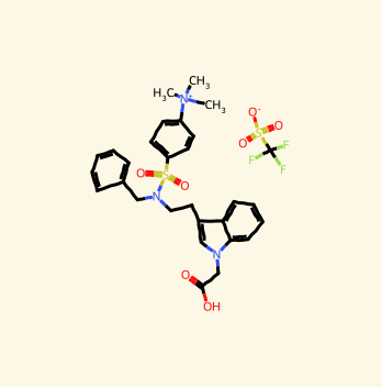 C[N+](C)(C)c1ccc(S(=O)(=O)N(CCc2cn(CC(=O)O)c3ccccc23)Cc2ccccc2)cc1.O=S(=O)([O-])C(F)(F)F